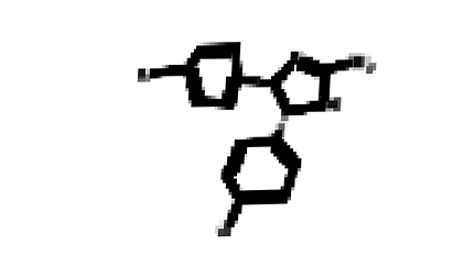 NC1=N[C@H](c2ccc(Cl)cc2)[C@@H](c2ccc(Cl)cc2)N1